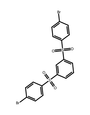 O=S(=O)(c1ccc(Br)cc1)c1cccc(S(=O)(=O)c2ccc(Br)cc2)c1